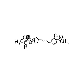 C[S+]([O-])c1ccc(CCCCC2CCN(OC(=O)C(C)(C)C)CC2)cc1Cl